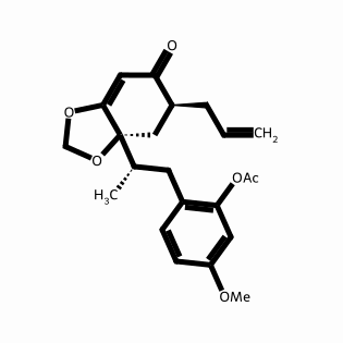 C=CC[C@H]1C[C@]2([C@@H](C)Cc3ccc(OC)cc3OC(C)=O)OCOC2=CC1=O